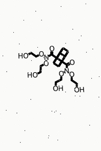 O=C(N(OCCO)OCCO)C12C3C4C5C3C1(C(=O)N(OCCO)OCCO)C5C42